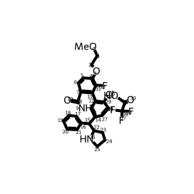 COCCOc1ccc(C(N)=O)c(-c2cc(C(c3ccccc3)C3CCCN3)ccc2Cl)c1F.O=C(O)C(F)(F)F